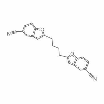 N#Cc1ccc2oc(CCCCc3cc4cc(C#N)ccc4o3)cc2c1